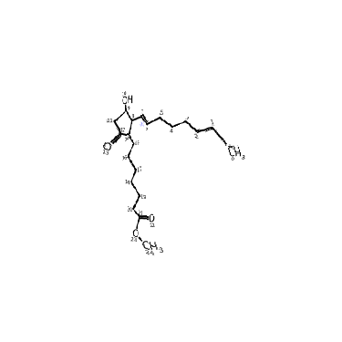 CCCCCC/C=C/C1C(O)CC(=O)C1CCCCCCC(=O)OC